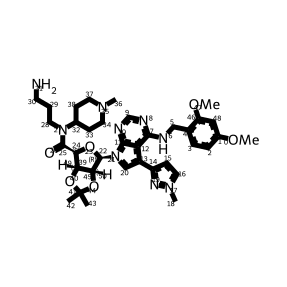 COc1ccc(CNc2ncnc3c2c(-c2ccn(C)n2)cn3[C@@H]2O[C@H](C(=O)N(CCCN)C3CCN(C)CC3)[C@H]3OC(C)(C)O[C@H]32)c(OC)c1